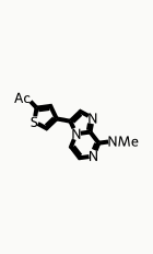 CNc1nccn2c(-c3csc(C(C)=O)c3)cnc12